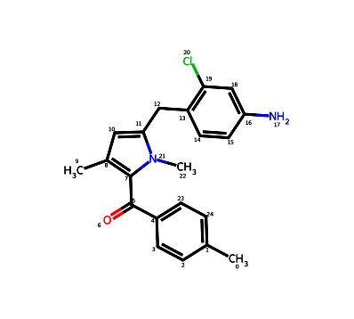 Cc1ccc(C(=O)c2c(C)cc(Cc3ccc(N)cc3Cl)n2C)cc1